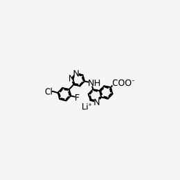 O=C([O-])c1ccc2nccc(Nc3cnnc(-c4cc(Cl)ccc4F)c3)c2c1.[Li+]